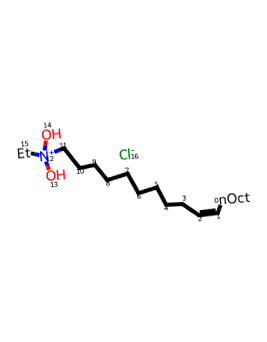 CCCCCCCC/C=C\CCCCCCCCC[N+](O)(O)CC.[Cl-]